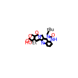 CC[C@@]1(O)C(=O)OCc2c1cc1n(c2=O)Cc2c-1nc1cccc3c1c2N(CCC(C)(C)C)C(=O)N3